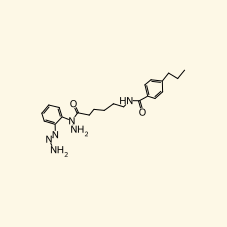 CCCc1ccc(C(=O)NCCCCCC(=O)N(N)c2ccccc2N=NN)cc1